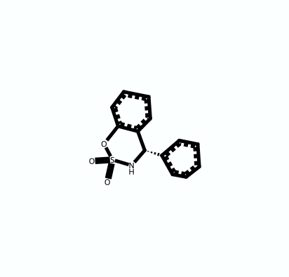 O=S1(=O)N[C@@H](c2ccccc2)c2ccccc2O1